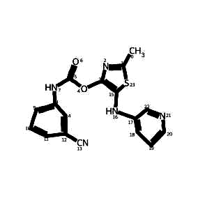 Cc1nc(OC(=O)Nc2cccc(C#N)c2)c(Nc2cccnc2)s1